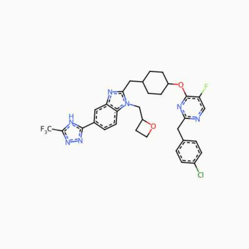 Fc1cnc(Cc2ccc(Cl)cc2)nc1OC1CCC(Cc2nc3cc(-c4nnc(C(F)(F)F)[nH]4)ccc3n2CC2CCO2)CC1